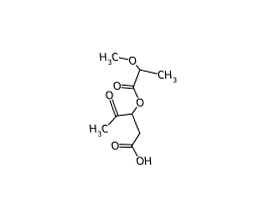 COC(C)C(=O)OC(CC(=O)O)C(C)=O